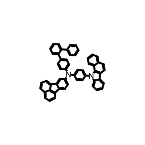 c1ccc(-c2ccccc2-c2ccc(N(c3ccc(-n4c5ccccc5c5ccc6ccccc6c54)cc3)c3ccc4c(c3)-c3cccc5cccc-4c35)cc2)cc1